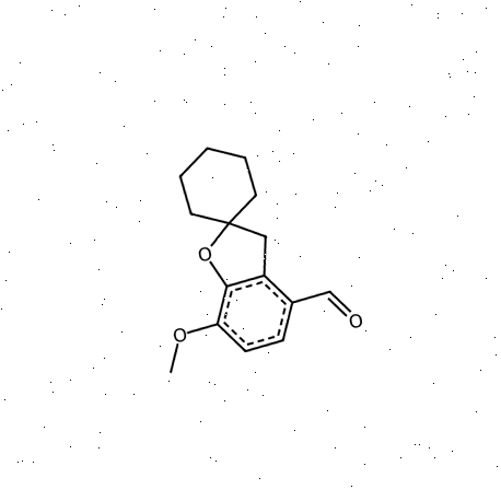 COc1ccc(C=O)c2c1OC1(CCCCC1)C2